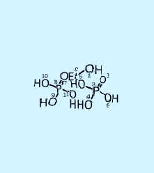 CCO.O=P(O)(O)O.O=P(O)(O)O